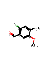 COc1cc(C=O)c(F)cc1C